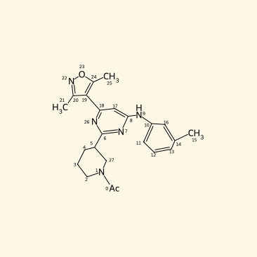 CC(=O)N1CCCC(c2nc(Nc3cccc(C)c3)cc(-c3c(C)noc3C)n2)C1